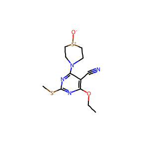 CCOc1nc(SC)nc(N2CC[S+]([O-])CC2)c1C#N